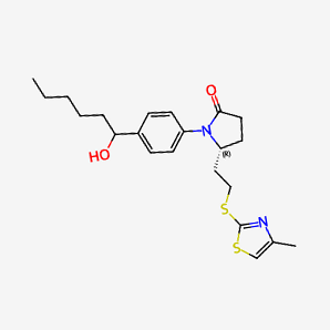 CCCCCC(O)c1ccc(N2C(=O)CC[C@@H]2CCSc2nc(C)cs2)cc1